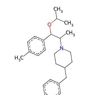 Cc1ccc(C(OC(C)C)C(C)N2CCC(Cc3ccccc3)CC2)cc1